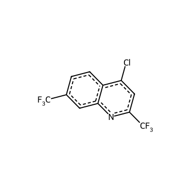 FC(F)(F)c1ccc2c(Cl)cc(C(F)(F)F)nc2c1